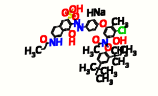 CCC(=O)Nc1ccc2cc(S(=O)(=O)O)c(N=Nc3ccc(Oc4cc(N(Oc5ccc(C(C)(C)CC)cc5C(C)(C)CC)C(C)=O)c(O)c(Cl)c4C)cc3)c(O)c2c1.[NaH]